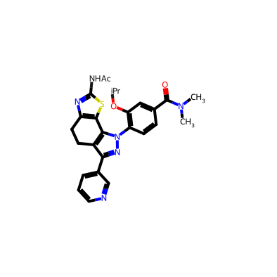 CC(=O)Nc1nc2c(s1)-c1c(c(-c3cccnc3)nn1-c1ccc(C(=O)N(C)C)cc1OC(C)C)CC2